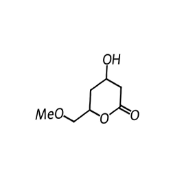 COCC1CC(O)CC(=O)O1